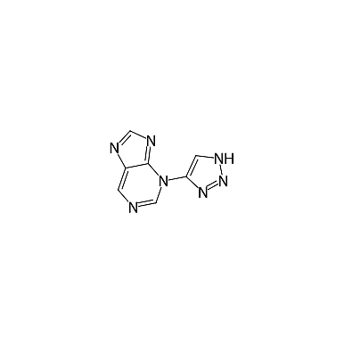 c1nc2cncn(-c3c[nH]nn3)c-2n1